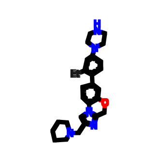 CCc1cc(N2CCNCC2)ccc1-c1ccc2c(c1)OCc1nc(CN3CCCCC3)cn1-2